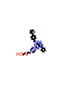 OCCOCCN1CCN(c2nc(NCc3ccc(-c4cccs4)cc3)c3ncn(C4CCCC4)c3n2)CC1